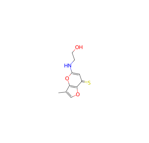 Cc1coc2c(=S)cc(NCCO)oc12